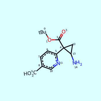 CC(C)(C)OC(=O)C1(c2ccc(C(=O)O)cn2)CC1N